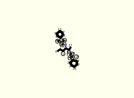 CCC(=O)C(=N\OS(=O)(=O)c1ccccc1)/C(C)=N/OS(=O)(=O)c1ccccc1